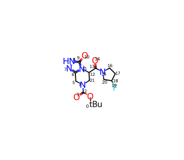 CC(C)(C)OC(=O)N1Cc2n[nH]c(=O)n2C(C(=O)N2CCC(F)C2)C1